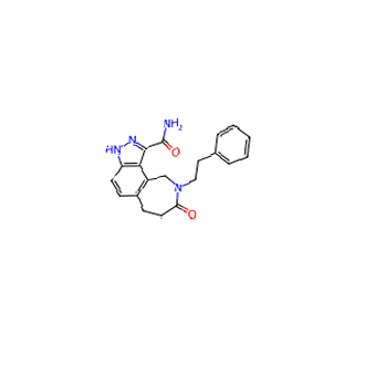 NC(=O)c1n[nH]c2ccc3c(c12)CN(CCc1ccccc1)C(=O)[CH]C3